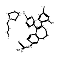 O=C(O)C(=O)Nc1ccc2c(c1)CCCC(c1ccc(Cl)cc1Cl)=C2c1ccc(O[C@H]2CCN(CCCF)C2)cc1